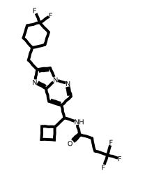 O=C(CCC(F)(F)F)NC(c1cnn2cc(CC3CCC(F)(F)CC3)nc2c1)C1CCC1